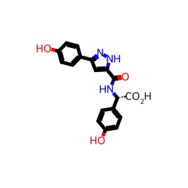 O=C(N[C@H](C(=O)O)c1ccc(O)cc1)c1cc(-c2ccc(O)cc2)n[nH]1